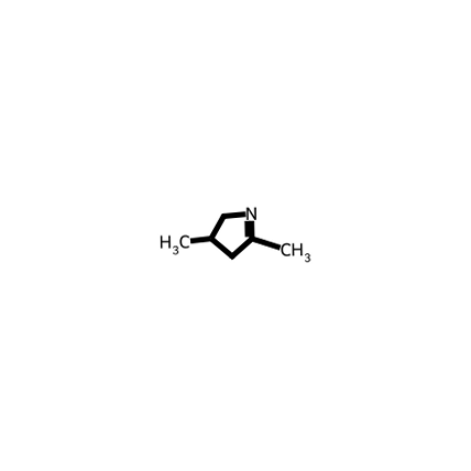 CC1=NCC(C)C1